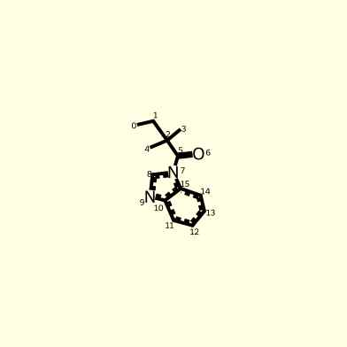 CCC(C)(C)C(=O)n1cnc2ccccc21